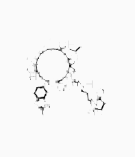 C=CC[C@H]1C(=O)C(C)(C)[C@@H](OC(=O)NCCCN2C(=O)C=CC2=O)CC(=O)O[C@H](c2ccc3sc(C)nc3c2)C[C@@H]2O[C@]2(C)CCC[C@H](C)[C@@H]1O